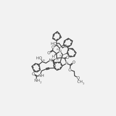 COCCOC(=O)N1C(=O)C2(c3cc(C#CCNC(N)=O)ccc31)[C@H](c1ccccc1OCCO)N1[C@H](c3ccccc3)[C@H](c3ccccc3)OC(=O)[C@H]1[C@@H]2C(=O)NC[C@H](O)c1ccccc1